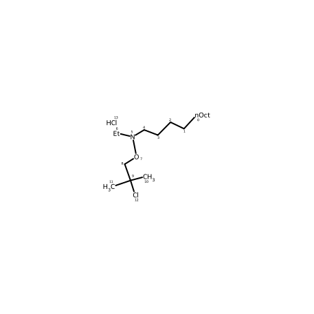 CCCCCCCCCCCCN(CC)OCC(C)(C)Cl.Cl